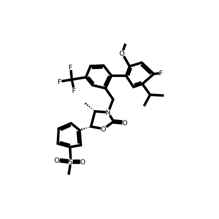 COc1cc(F)c(C(C)C)cc1-c1ccc(C(F)(F)F)cc1CN1C(=O)O[C@H](c2cccc(S(C)(=O)=O)c2)[C@@H]1C